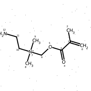 C=C(C)C(=O)OC[N+](C)(C)CCN